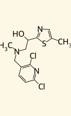 Cc1cnc(C(O)CN(C)Cc2ccc(Cl)nc2Cl)s1